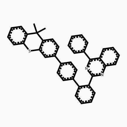 CC1(C)c2ccccc2Sc2cc(-c3ccc(-c4ccccc4-c4nc(-c5ccccc5)c5ccccc5n4)cc3)ccc21